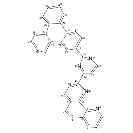 c1cnc2c(c1)ccc1ccc(-c3ccnc(-c4ccc5c6ccccc6c6ccccc6c5c4)n3)nc12